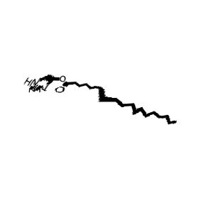 CCCCCCCCCCCCCCCCCC(=O)Oc1c[nH]nn1